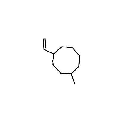 C=CC1CCCCC(C)CC1